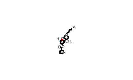 CC(C)C=CCCN1CCC(C)(c2cccc(OC(=O)c3cccnc3)c2)C(C)C1